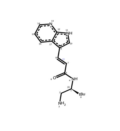 CC(C)(C)[C@@H](CN)NC(=O)/C=C/c1c[nH]c2ncccc12